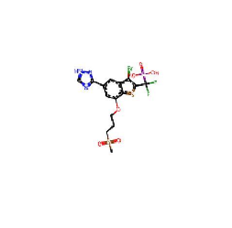 CS(=O)(=O)CCCOc1cc(-c2nc[nH]n2)cc2c(Br)c(C(F)(F)P(=O)(O)O)sc12